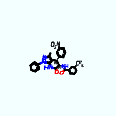 Cc1nn(-c2ccccc2)c2c1[C@H](c1cccc([N+](=O)[O-])c1)[C@@H](NC(=O)c1cccc(C(F)(F)F)c1)C(=O)N2